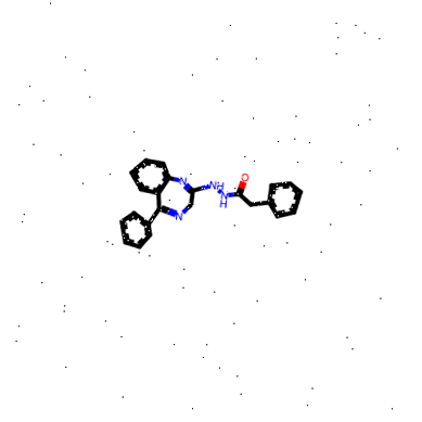 O=C(Cc1ccccc1)NNC1=Nc2ccccc2C(c2ccccc2)=NC1